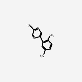 Nc1ccc(C(F)(F)F)cc1-c1cnc(Cl)cn1